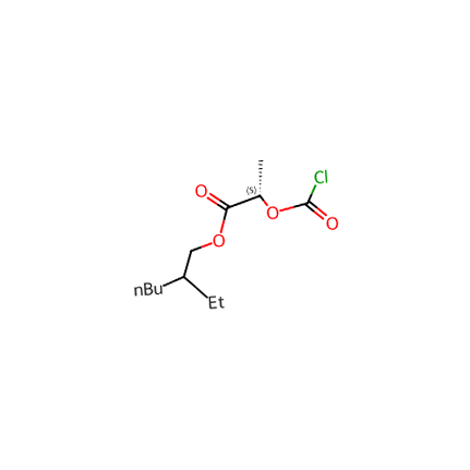 CCCCC(CC)COC(=O)[C@H](C)OC(=O)Cl